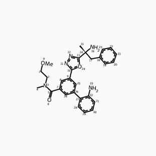 COCCN(C)C(=O)c1cc(-c2nnc([C@](C)(N)Cc3ccccc3)o2)cc(-c2ccccc2N)c1